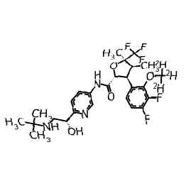 [2H]C([2H])([2H])Oc1c([C@H]2[C@H](C(=O)Nc3ccc([C@H](O)CNC(C)(C)C)nc3)O[C@@](C)(C(F)(F)F)[C@H]2C)ccc(F)c1F